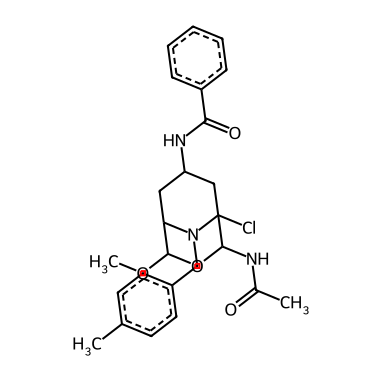 COC1OC(NC(C)=O)C2(Cl)CC(NC(=O)c3ccccc3)CC1N2Cc1ccc(C)cc1